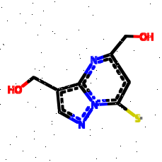 OCc1cc([S])n2ncc(CO)c2n1